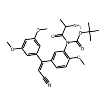 COc1cc(OC)cc(C(=CC#N)c2ccc(OC)c(N(C(=O)OC(C)(C)C)C(=O)C(C)N)c2)c1